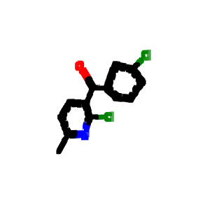 Cc1ccc(C(=O)c2cccc(Cl)c2)c(Cl)n1